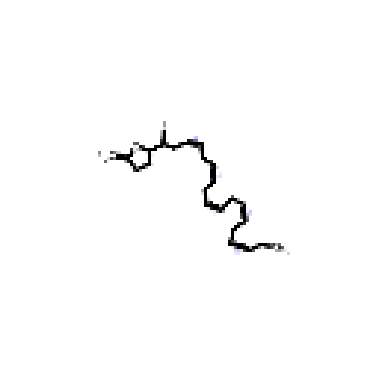 C=C1CCC(C(I)C/C=C\C/C=C\C/C=C\C/C=C\C/C=C\CC)O1